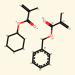 C=C(C)C(=O)OC1CCCCC1.C=C(C)C(=O)OCc1ccccc1